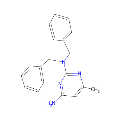 Cc1cc(N)nc(N(Cc2ccccc2)Cc2ccccc2)n1